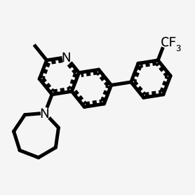 Cc1cc(N2CCCCCC2)c2ccc(-c3cccc(C(F)(F)F)c3)cc2n1